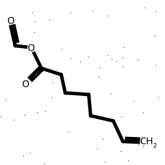 C=CCCCCCC(=O)OC=O